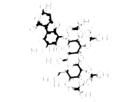 CC[C@H]1O[C@@H](O[C@H]2[C@H](OC(C)=O)[C@@H](OC(C)=O)[C@H](Oc3c(O)c(C)cc4c3oc3cc(C)oc(=O)c34)O[C@@H]2CC)[C@H](OC(C)=O)[C@@H](OC(C)=O)[C@H]1C